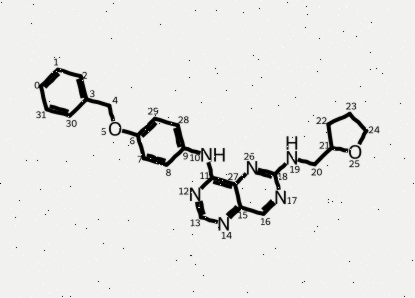 c1ccc(COc2ccc(Nc3ncnc4cnc(NCC5CCCO5)nc34)cc2)cc1